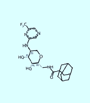 O=C(NC[C@H]1OC[C@H](Nc2cncc(C(F)(F)F)n2)[C@@H](O)[C@H]1O)C12CC3CC(CC(C3)C1)C2